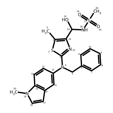 Cc1sc(N(Cc2ccccc2)c2ccc3c(ccn3C)c2)nc1C(O)NS(C)(=O)=O